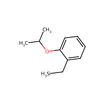 CC(C)Oc1ccccc1C[SiH3]